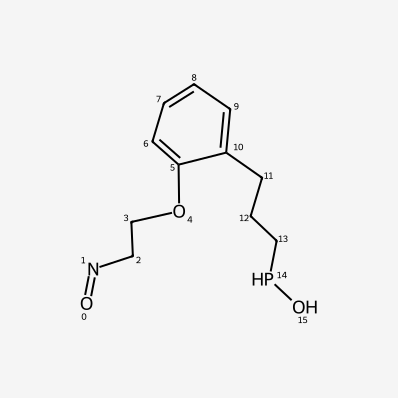 O=NCCOc1ccccc1CCCPO